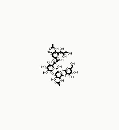 CC(=O)NC1C(O)[C@H](O[C@@H]2OC(CO[C@]3(C(=O)O)C[C@@H](O)[C@@H](NC(C)=O)C([C@H](O)[C@H](O)CO)O3)[C@H](O)[C@H](O)C2O)[C@H](CO)O[C@H]1OC1[C@@H](O)[C@H](O)C(CO)O[C@@H]1C